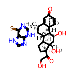 C[C@H]1C[C@@H]2[C@H]([C@@H](O)C[C@@]3(C)[C@H]2CC[C@]3(O)C(=O)CO)[C@@]2(C)C=CC(=O)C=C12.S=c1nc[nH]c2nc[nH]c12